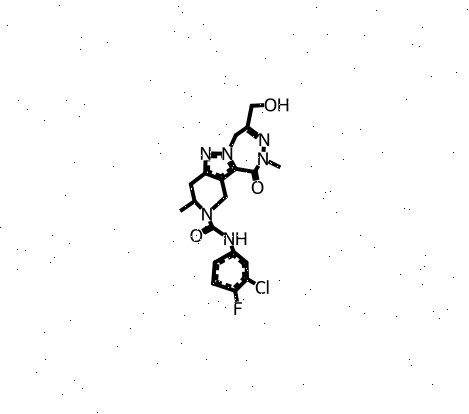 CC1Cc2nn3c(c2CN1C(=O)Nc1ccc(F)c(Cl)c1)C(=O)N(C)N=C(CO)C3